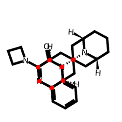 O=c1c(N2CCC2)nc2ccccc2n1[C@H]1C[C@H]2CCC[C@@H](C1)N2[C@H]1C[C@@H]2CCC[C@@H](C2)C1